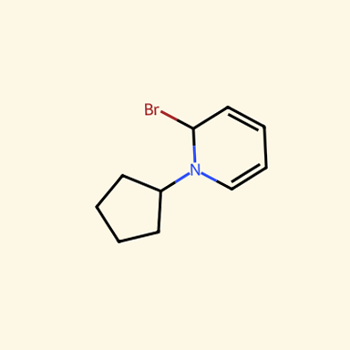 BrC1C=CC=CN1C1CCCC1